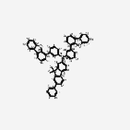 CC1(C)c2cc(-c3ccccc3)ccc2-c2ccc(N(c3cccc(-c4cccc5c4oc4ccccc45)c3)c3cccc(-c4cccc5c4oc4ccccc45)c3)cc21